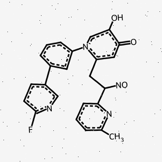 Cc1cccc(C(Cc2cc(=O)c(O)cn2-c2cccc(-c3ccc(F)nc3)c2)N=O)n1